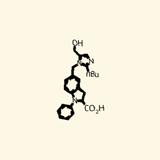 CCCCc1ncc(CO)n1Cc1ccc2c(c1)CC(C(=O)O)N2c1ccccc1